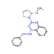 COC1CCCN1c1nc(NCc2ccccc2)c2ccccc2n1